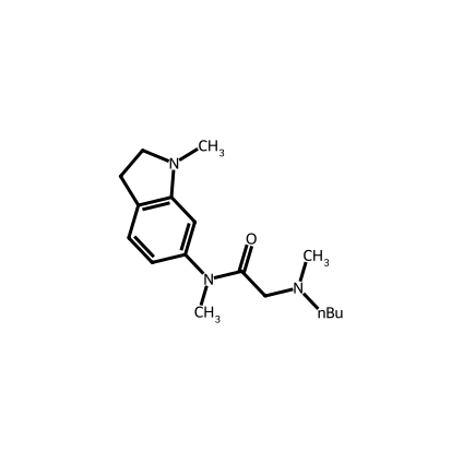 CCCCN(C)CC(=O)N(C)c1ccc2c(c1)N(C)CC2